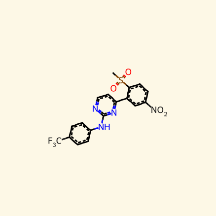 CS(=O)(=O)c1ccc([N+](=O)[O-])cc1-c1ccnc(Nc2ccc(C(F)(F)F)cc2)n1